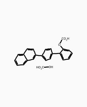 O=C(O)O.O=C(O)Oc1ccccc1-c1ccc(-c2ccc3ccccc3c2)cc1